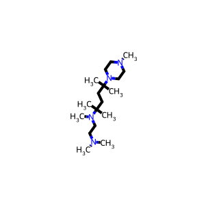 CN(C)CCN(C)C(C)(C)CCC(C)(C)N1CCN(C)CC1